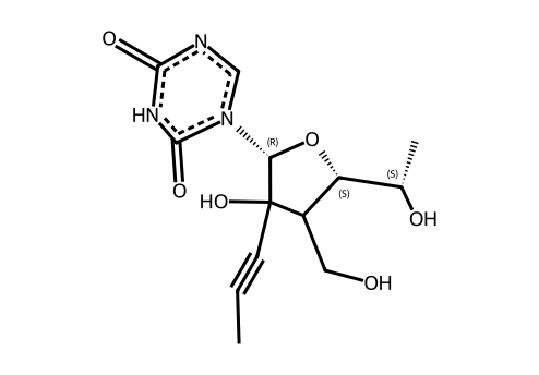 CC#CC1(O)C(CO)[C@@H]([C@H](C)O)O[C@H]1n1cnc(=O)[nH]c1=O